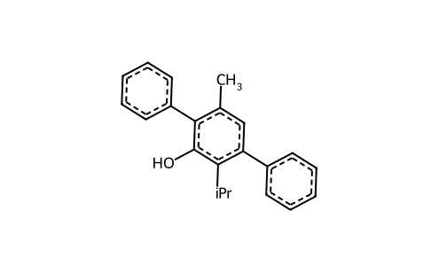 Cc1cc(-c2ccccc2)c(C(C)C)c(O)c1-c1ccccc1